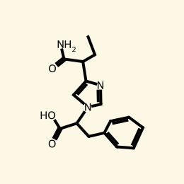 CCC(C(N)=O)c1cn(C(Cc2ccccc2)C(=O)O)cn1